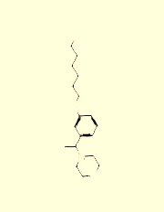 CC(c1cccc(OCCCCCCBr)c1)N1CCOCC1